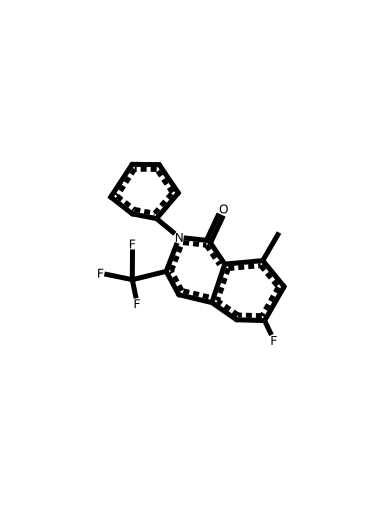 Cc1cc(F)cc2cc(C(F)(F)F)n(-c3ccccc3)c(=O)c12